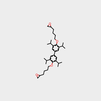 CC(C)c1cc(-c2cc(C(C)C)c(OCCCCC3CO3)c(C(C)C)c2)cc(C(C)C)c1OCCCCC1CO1